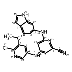 COc1cc(Nc2cc(C#N)nc(Nc3ccc4cc[nH]c4c3)c2)cnc1Cl